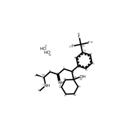 CN[C@@H](C)CC(=N)CC(c1cccc(C(F)(F)F)c1)C1(O)CCCCC1.Cl.Cl